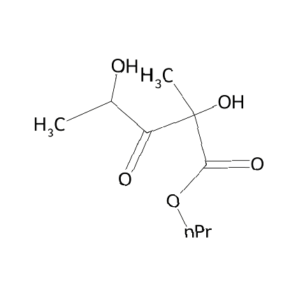 CCCOC(=O)C(C)(O)C(=O)C(C)O